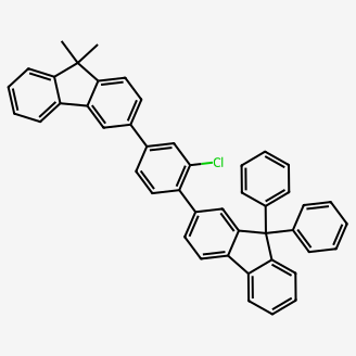 CC1(C)c2ccccc2-c2cc(-c3ccc(-c4ccc5c(c4)C(c4ccccc4)(c4ccccc4)c4ccccc4-5)c(Cl)c3)ccc21